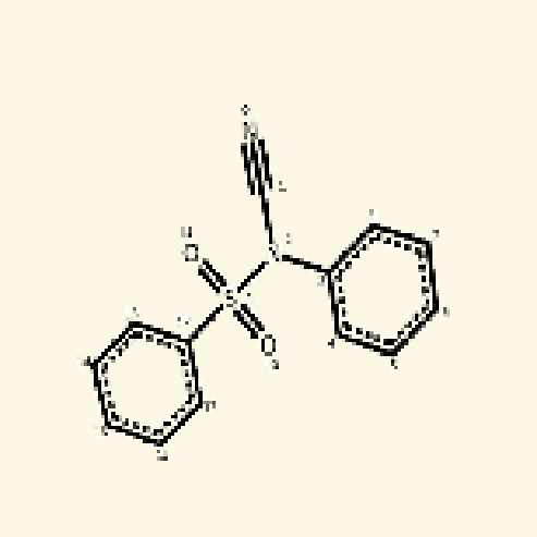 N#CN(c1ccccc1)S(=O)(=O)c1ccccc1